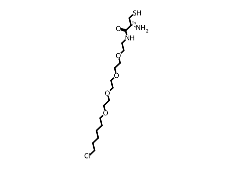 N[C@@H](CS)C(=O)NCCOCCOCCOCCOCCCCCCCl